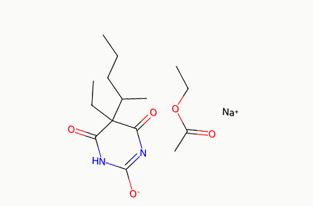 CCCC(C)C1(CC)C(=O)N=C([O-])NC1=O.CCOC(C)=O.[Na+]